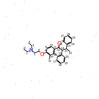 CCN(CC)CCOc1ccc(C(=O)C(c2ccccc2)C(C)c2ccccc2)cc1C